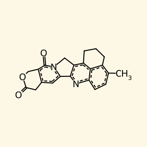 Cc1ccc2nc3c(c4c2c1CCC4)Cn1c-3cc2c(c1=O)COC(=O)C2